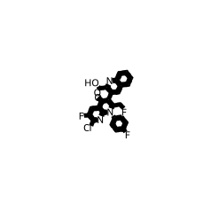 CCc1c(-c2cc3ccccc3nc2C(=O)O)c(=O)c2cc(F)c(Cl)nc2n1-c1ccc(F)cc1F